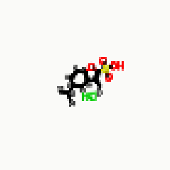 Cc1c(S(=O)(=O)O)oc2ccc(C(C)C)cc12.Cl